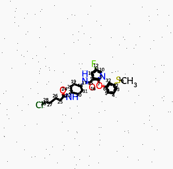 CSc1cccc(Oc2ncc(F)cc2C(=O)N[C@H]2CC[C@@H](NC(=O)CCCCCl)CC2)c1